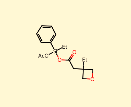 CCC1(CC(=O)O[Si](CC)(OC(C)=O)c2ccccc2)COC1